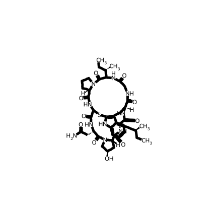 CC[C@H](C)C1NC(=O)CNC(=O)[C@@H]2Cc3c([nH]c4ccccc34)SC(NC(=O)[C@H]3CCCN3C1=O)C(=O)N[C@@H](CC(N)=O)C(=O)N1C[C@H](O)C[C@H]1C(=O)N[C@@H]([C@@H](C)CC)C(=O)N2